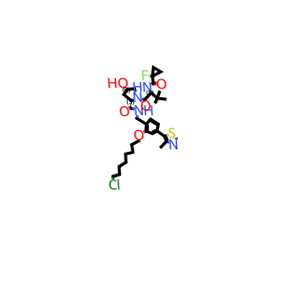 Cc1ncsc1-c1ccc(CNC(=O)[C@@H]2C[C@@H](O)CN2C(=O)[C@@H](NC(=O)C2(F)CC2)C(C)(C)C)c(OCCCCCCCCCl)c1